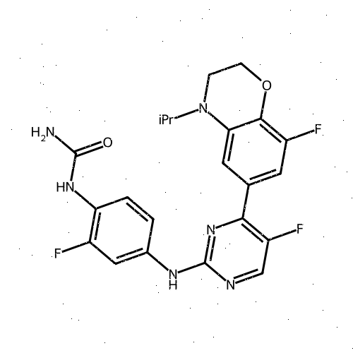 CC(C)N1CCOc2c(F)cc(-c3nc(Nc4ccc(NC(N)=O)c(F)c4)ncc3F)cc21